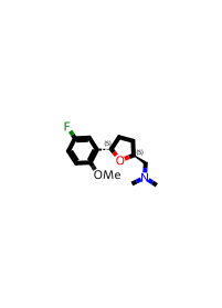 COc1ccc(F)cc1[C@@H]1CC[C@@H](CN(C)C)O1